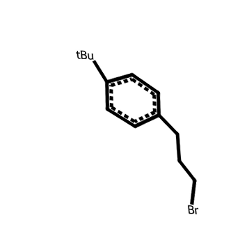 CC(C)(C)c1ccc(CCCBr)cc1